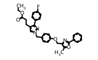 CCOC(=O)CCc1cn(Cc2ccc(OCc3nc(-c4ccccc4)oc3C)cc2)nc1-c1ccc(F)cc1